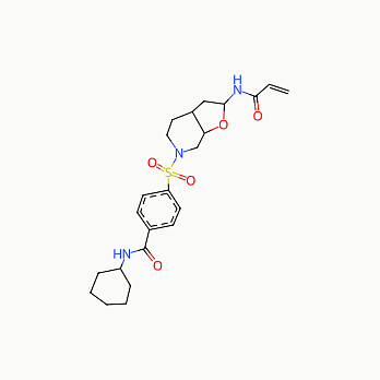 C=CC(=O)NC1CC2CCN(S(=O)(=O)c3ccc(C(=O)NC4CCCCC4)cc3)CC2O1